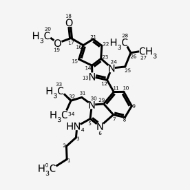 CCCCNc1nc2cccc(-c3nc4cc(C(=O)OC)ccc4n3CC(C)C)c2n1CC(C)C